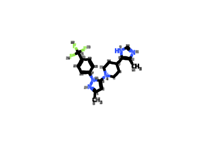 Cc1cc(N2CCC(c3[nH]cnc3C)CC2)n(-c2ccc(C(F)(F)F)cc2)n1